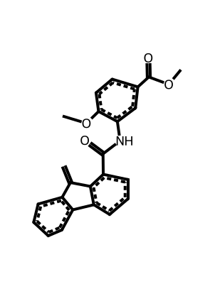 C=C1c2ccccc2-c2cccc(C(=O)Nc3cc(C(=O)OC)ccc3OC)c21